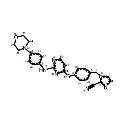 N#Cc1nccn1Cc1ccc(Sc2ccnc(Nc3ccc(N4CCOCC4)cc3)n2)cc1